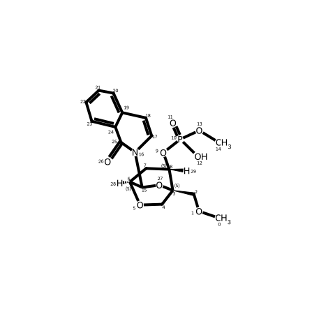 COC[C@]12CO[C@@H](C[C@@H]1OP(=O)(O)OC)C(n1ccc3ccccc3c1=O)O2